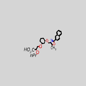 CCCOC(CO[C@@H]1CCC[C@H](OCc2nc(-c3ccc4ccccc4c3)oc2C)C1)C(=O)O